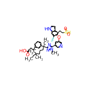 CCC(C)(C)CCC[C@](C)(c1cccc(CCC(=O)O)c1)c1nc(-c2cncc(Oc3c(F)cc4[nH]ccc4c3CC[SH](=O)=O)c2)n(C)n1